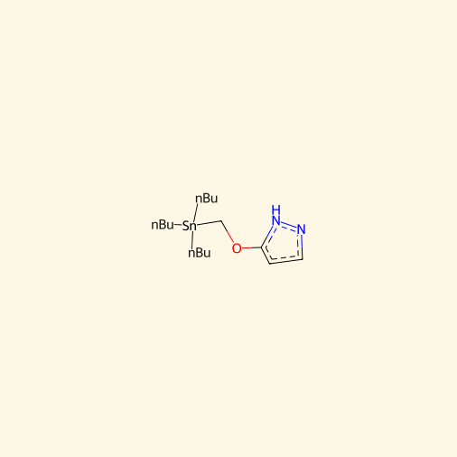 CCC[CH2][Sn]([CH2]CCC)([CH2]CCC)[CH2]Oc1ccn[nH]1